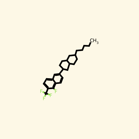 CCCCCC1CCC2CC(c3ccc4c(F)c(C(F)(F)F)ccc4c3)CCC2C1